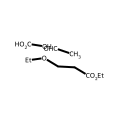 CC=O.CCOCCC(=O)OCC.O=C(O)O